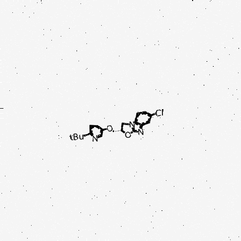 CC(C)(C)c1ccc(OC[C@@H]2Cn3c(nc4cc(Cl)ccc43)O2)cn1